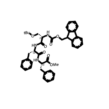 COC(=O)[C@H](Cc1ccccc1)NC(=O)[C@H](Cc1ccccc1)NC(=O)[C@H](COC(C)(C)C)NC(=O)OCC1c2ccccc2-c2ccccc21